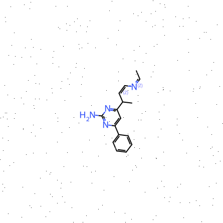 C/C=N\C=C/C(C)c1cc(-c2ccccc2)nc(N)n1